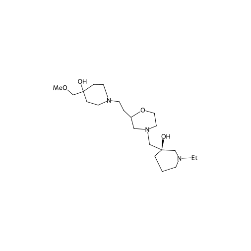 CCN1CCC[C@](O)(CN2CCOC(CCN3CCC(O)(COC)CC3)C2)C1